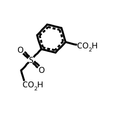 O=C(O)CS(=O)(=O)c1cccc(C(=O)O)c1